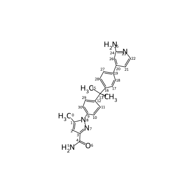 Cc1cc(C(N)=O)nn1-c1ccc(C(C)(C)c2ccc(-c3ccnc(N)c3)cc2)cc1